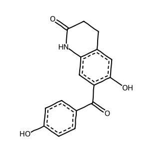 O=C1CCc2cc(O)c(C(=O)c3ccc(O)cc3)cc2N1